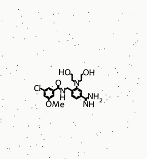 COc1cc(Cl)cc(C(=O)NCc2ccc(C(=N)N)cc2N(CCO)CCO)c1